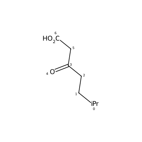 CC(C)CCC(=O)CC(=O)O